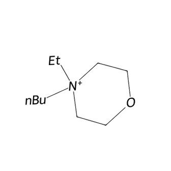 CCCC[N+]1(CC)CCOCC1